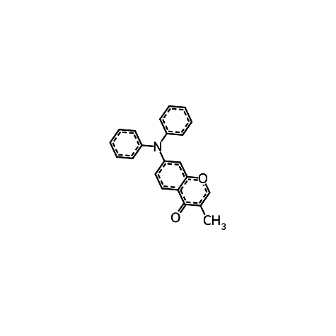 Cc1coc2cc(N(c3ccccc3)c3ccccc3)ccc2c1=O